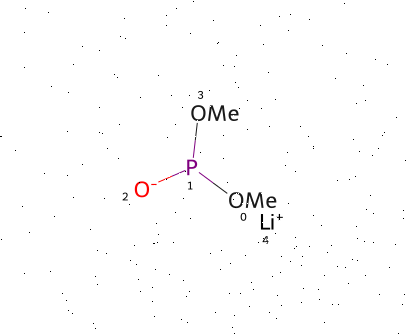 COP([O-])OC.[Li+]